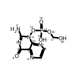 Nc1nc(=O)c2nccnc2n1OP(=O)(O)OCO